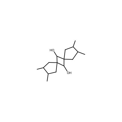 CC1CC2(CC1C)C(O)C1(CC(C)C(C)C1)C2O